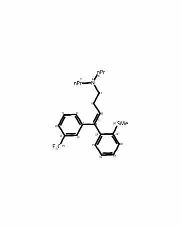 CCCN(CCC)CC/C=C(\c1cccc(C(F)(F)F)c1)c1ccccc1SC